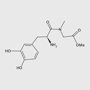 COC(=O)CN(C)C(=O)[C@@H](N)Cc1ccc(O)c(O)c1